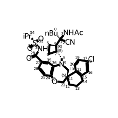 CCCC[C@@](C#N)(NC(C)=O)[C@@H]1CC[C@H]1CN1C[C@@]2(CCCc3cc(Cl)ccc32)COc2ccc(C(=O)NS(=O)(=O)C(C)C)cc21